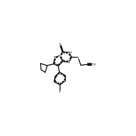 C#CCSc1nc2c(-c3ccc(F)cc3)c(C3CCC3)nn2c(=O)[nH]1